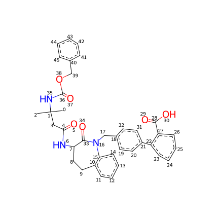 CC(C)(CC(=O)NC1CCc2ccccc2N(Cc2ccc(-c3ccccc3C(=O)O)cc2)C1=O)NC(=O)OCc1ccccc1